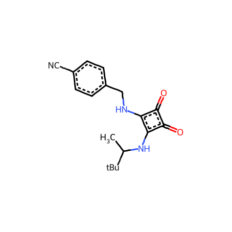 CC(Nc1c(NCc2ccc(C#N)cc2)c(=O)c1=O)C(C)(C)C